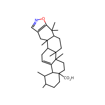 CC1CCC2(C(=O)O)CCC3(C)C(=CCC4C5(C)Cc6cnoc6C(C)(C)C5CCC43C)C2C1C